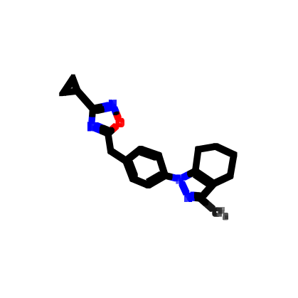 FC(F)(F)c1nn(-c2ccc(Cc3nc(C4CC4)no3)cc2)c2c1CCCC2